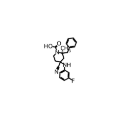 C[C@]1(Cc2ccccc2)CC(C#N)(Nc2cccc(F)c2)CCN1C(=O)O